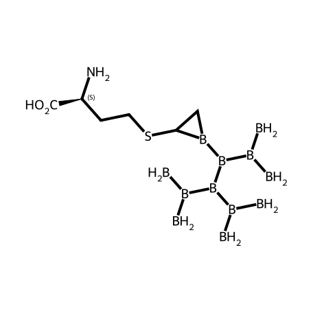 BB(B)B(B(B)B)B(B(B)B)B1CC1SCC[C@H](N)C(=O)O